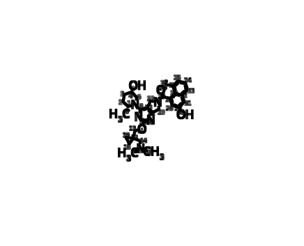 C[C@@H]1CC[C@@H](O)CN1c1nc(OCC2(CN(C)C)CC2)nc2c1CN(C(=O)c1cc(O)cc3cccc(I)c13)C2